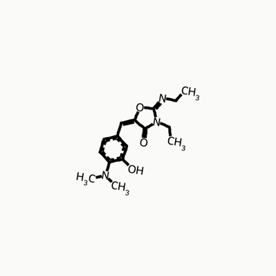 CC/N=C1/O/C(=C/c2ccc(N(C)C)c(O)c2)C(=O)N1CC